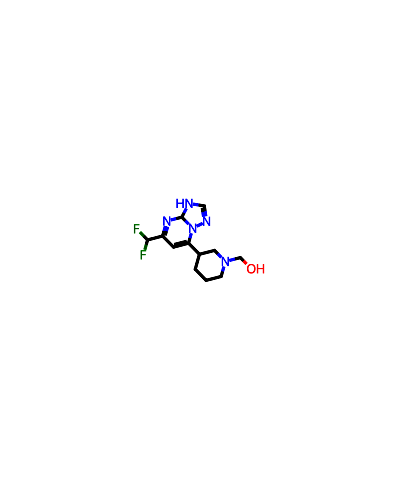 OCN1CCCC(C2=CC(C(F)F)=NC3NC=NN23)C1